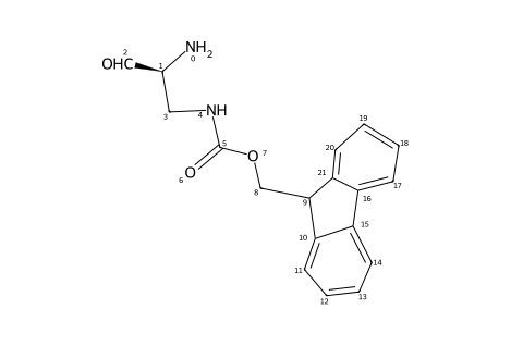 N[C@H](C=O)CNC(=O)OCC1c2ccccc2-c2ccccc21